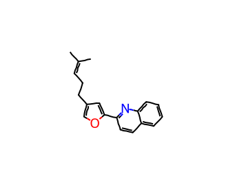 CC(C)=CCCc1coc(-c2ccc3ccccc3n2)c1